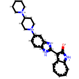 O=c1[nH]c2cccccc-2c1-c1nc2cc(N3CCC(N4CCCCC4)CC3)ccc2[nH]1